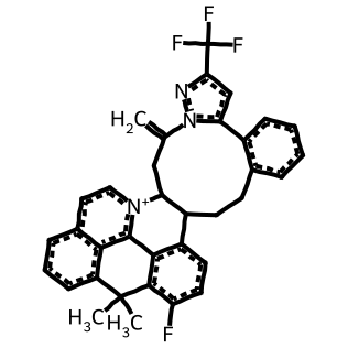 C=C1CC2C(CCc3ccccc3-c3cc(C(F)(F)F)nn31)c1ccc(F)c3c1-c1c4c(cccc4cc[n+]12)C3(C)C